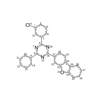 Clc1cccc(-c2nc(-c3ccccc3)nc(-c3ccc4c(c3)oc3ccccc34)n2)c1